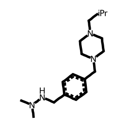 CC(C)CN1CCN(Cc2ccc(CNN(C)C)cc2)CC1